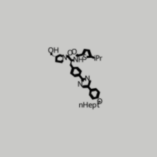 CCCCCCCOc1ccc(-c2cnc(-c3ccc(C[C@H](NC(=O)c4ccc(C(C)C)s4)C(=O)N4CC[C@H](CO)C4)cc3)nc2)cc1